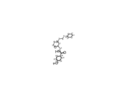 O=C(NCC1CN(CCCc2ccccc2)CCO1)c1ccc(O)cc1